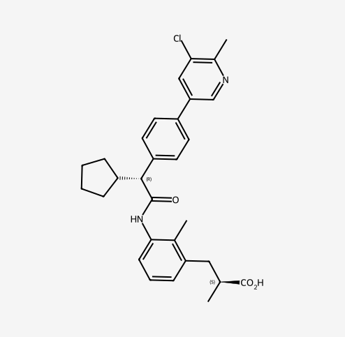 Cc1ncc(-c2ccc([C@H](C(=O)Nc3cccc(C[C@H](C)C(=O)O)c3C)C3CCCC3)cc2)cc1Cl